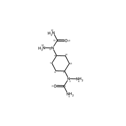 NC(=O)N(N)[C]1CCC(N(N)C(N)=O)CC1